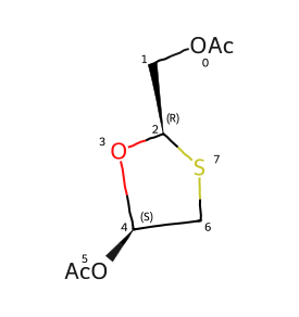 CC(=O)OC[C@@H]1O[C@H](OC(C)=O)CS1